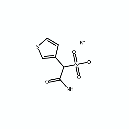 [K+].[NH]C(=O)C(c1ccsc1)S(=O)(=O)[O-]